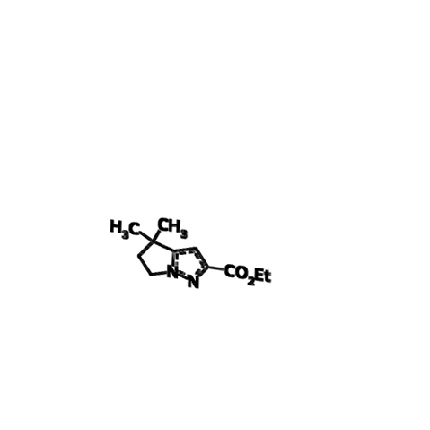 CCOC(=O)c1cc2n(n1)CCC2(C)C